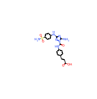 Nc1nc(Nc2ccc(S(N)(=O)=O)cc2)nn1C(=O)Nc1ccc(/C=C/C(=O)O)cc1